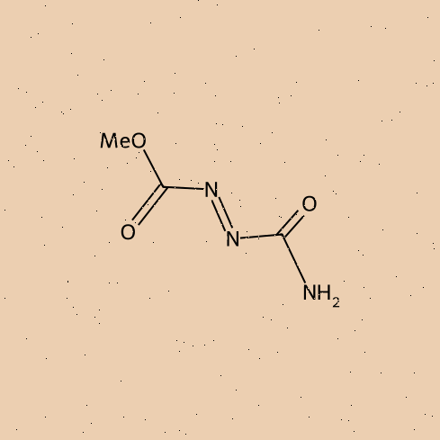 COC(=O)/N=N/C(N)=O